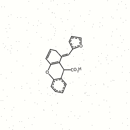 O=C(O)C1C2=C(C=CCC2=Cc2ccco2)Oc2ccccc21